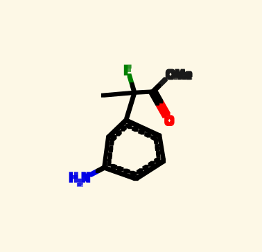 COC(=O)C(C)(F)c1cccc(N)c1